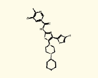 Cc1ncc(C(=O)Nc2nc(-c3cc(Cl)cs3)c(N3CCN(C4CCCCC4)CC3)s2)cc1Cl